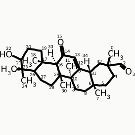 CC1(C=O)CC[C@]2(C)CC[C@]3(C)C(=CC(=O)[C@@H]4[C@@]5(C)CCC(O)C(C)(C)C5CC[C@]43C)[C@@H]2C1